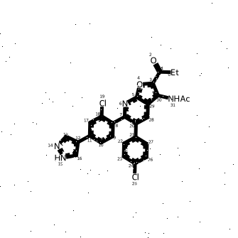 CCC(=O)c1oc2nc(-c3ccc(-c4cn[nH]c4)cc3Cl)c(-c3ccc(Cl)cc3)cc2c1NC(C)=O